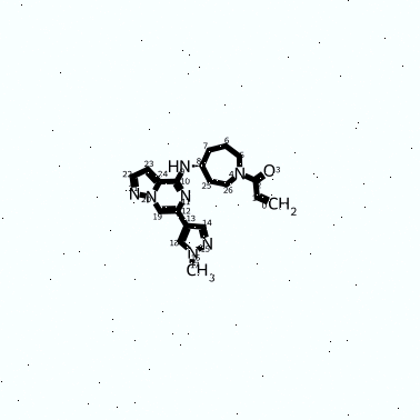 C=CC(=O)N1CCC[C@@H](Nc2nc(-c3cnn(C)c3)cn3nccc23)CC1